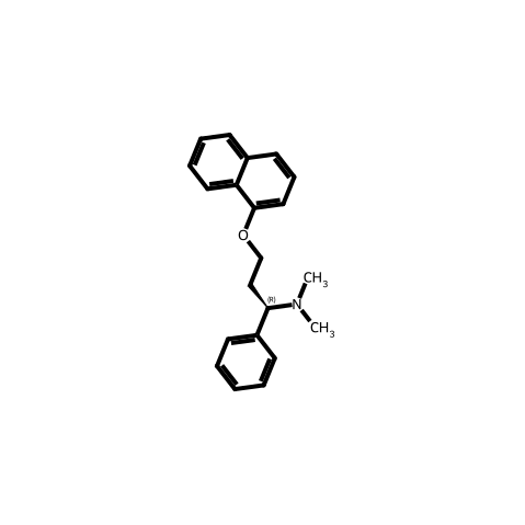 CN(C)[C@H](CCOc1cccc2ccccc12)c1ccccc1